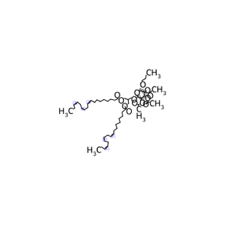 CC/C=C\C/C=C\C/C=C\CCCCCCCC(=O)OCC(COC(=O)CCCCCCC/C=C\C/C=C\C/C=C\CC)CO[C@@H]1O[C@H](COCCCC)[C@H](OC(C)=O)[C@H](OC(C)=O)[C@H]1OC(C)=O